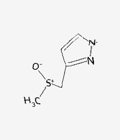 C[S+]([O-])CC1=N[N]C=C1